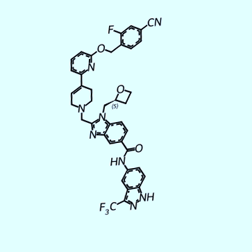 N#Cc1ccc(COc2cccc(C3=CCN(Cc4nc5cc(C(=O)Nc6ccc7[nH]nc(C(F)(F)F)c7c6)ccc5n4C[C@@H]4CCO4)CC3)n2)c(F)c1